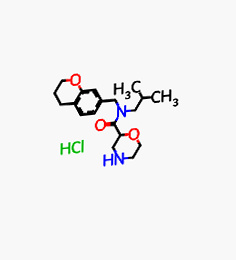 CC(C)CN(Cc1ccc2c(c1)OCCC2)C(=O)C1CNCCO1.Cl